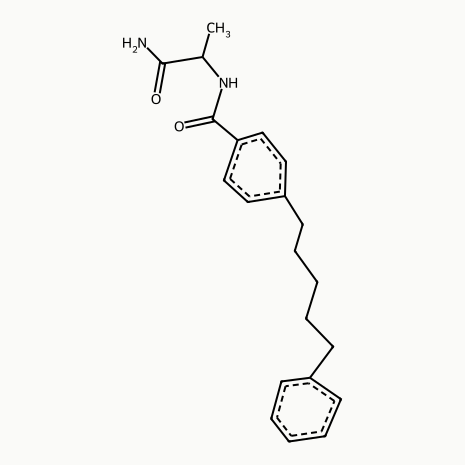 CC(NC(=O)c1ccc(CCCCCc2ccccc2)cc1)C(N)=O